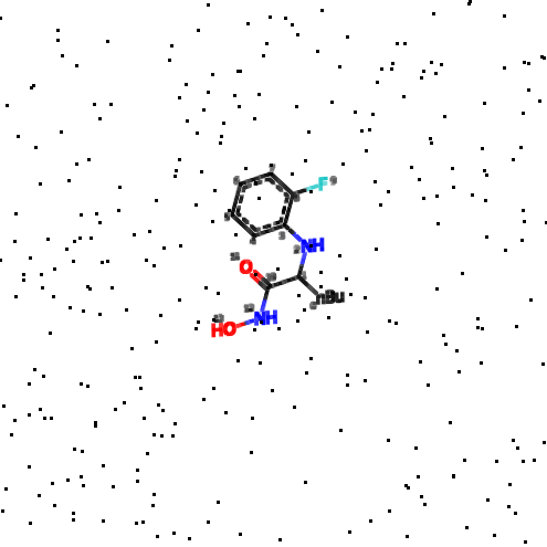 CCCCC(Nc1ccccc1F)C(=O)NO